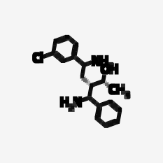 C[C@@H](O)[C@@H](CC(N)c1cccc(Cl)c1)C(N)c1ccccc1